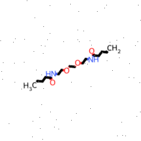 C=CCCC(=O)NCCOCCOCCNC(=O)CCCC